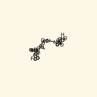 C#Cc1c(F)ccc2cccc(-c3ncc4c(N5CC6CCC(C5)N6)nc(OC[C@@]56CC[C@@H](COC(=O)N7CCN(CCCCNc8cccc9c8C(=O)N(C8CCC(=O)NC8=O)C9=O)CC7)N5CC(=C)C6)nc4c3F)c12